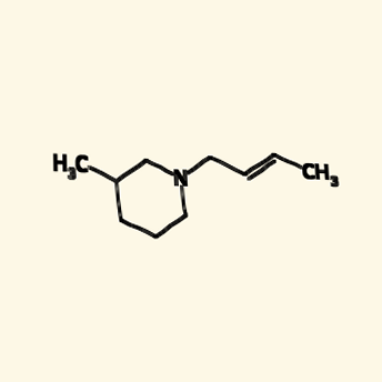 C/C=C/CN1CCCC(C)C1